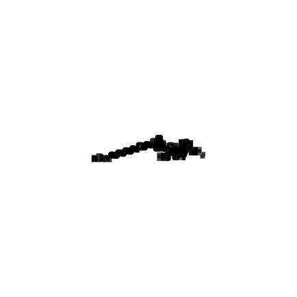 CCCCCCCCCCCCCCCCCCOCCCOP(=O)(O)OCC1O[C@@](C)(c2ccc3c(N)ncnn23)[C@H](O)[C@@H]1O